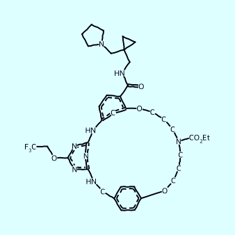 CCOC(=O)N1CCCOc2ccc(cc2)CNc2nc(nc(OCC(F)(F)F)n2)Nc2ccc(C(=O)NCC3(CN4CCCC4)CC3)c(c2)OCCC1